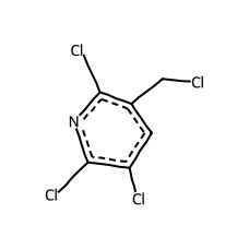 ClCc1cc(Cl)c(Cl)nc1Cl